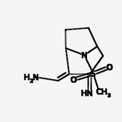 CS(=O)(=O)N1C2CCC1/C(=C\N)C(=N)C2